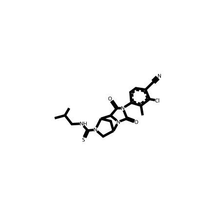 Cc1c(N2C(=O)C3C4CC(CN4C(=S)NCC(C)C)N3C2=O)ccc(C#N)c1Cl